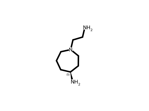 NCCN1CCC[C@H](N)CC1